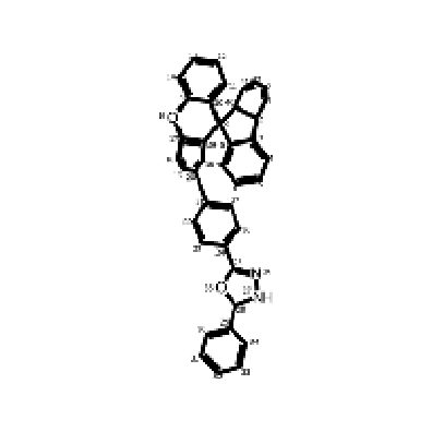 C1=CC2c3ccccc3C3(c4ccccc4Oc4ccc(-c5ccc(C6=NNC(c7ccccc7)O6)cc5)cc43)C2C=C1